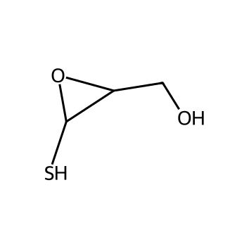 OCC1OC1S